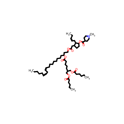 CC/C=C\CC1C(CC(=O)OCCC(CCCCCCCC/C=C\C/C=C\CCCCC)OC(=O)CCCCC(COC(=O)CCCCC)COC(=O)CCCCC)CCC1OC(=O)C1CCN(C)CC1